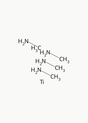 CN.CN.CN.CN.[Ti]